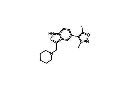 Cc1noc(C)c1-c1ccc2[nH]nc(CN3CCCCC3)c2c1